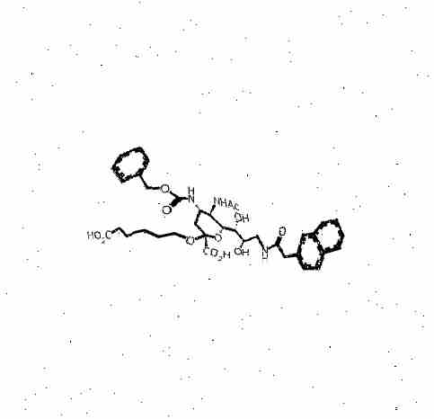 CC(=O)N[C@H]1[C@H]([C@H](O)[C@H](O)CNC(=O)Cc2ccc3ccccc3c2)O[C@@](OCCCCCC(=O)O)(C(=O)O)C[C@@H]1NC(=O)OCc1ccccc1